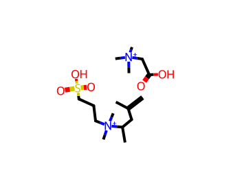 C=C(C)CC(C)[N+](C)(C)CCCS(=O)(=O)O.C[N+](C)(C)CC(=O)O